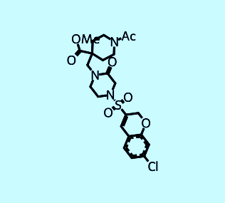 COC(=O)C1(CN2CCN(S(=O)(=O)C3=Cc4ccc(Cl)cc4OC3)CC2=O)CCN(C(C)=O)CC1